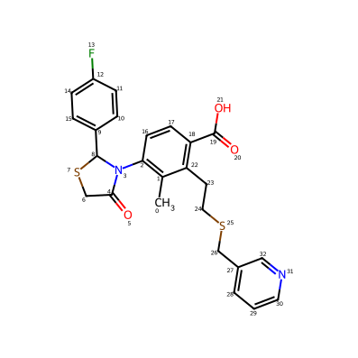 Cc1c(N2C(=O)CSC2c2ccc(F)cc2)ccc(C(=O)O)c1CCSCc1cccnc1